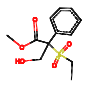 CCS(=O)(=O)C(CO)(C(=O)OC)c1ccccc1